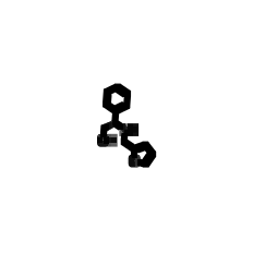 OC[C@H](NCc1ccco1)c1ccccc1